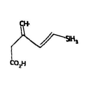 [CH]=C(C=C[SiH3])CC(=O)O